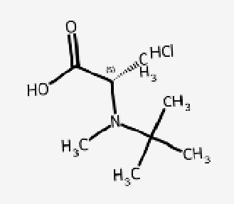 C[C@@H](C(=O)O)N(C)C(C)(C)C.Cl